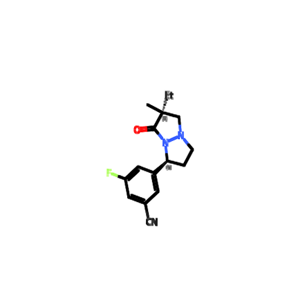 CC[C@]1(C)CN2CC[C@@H](c3cc(F)cc(C#N)c3)N2C1=O